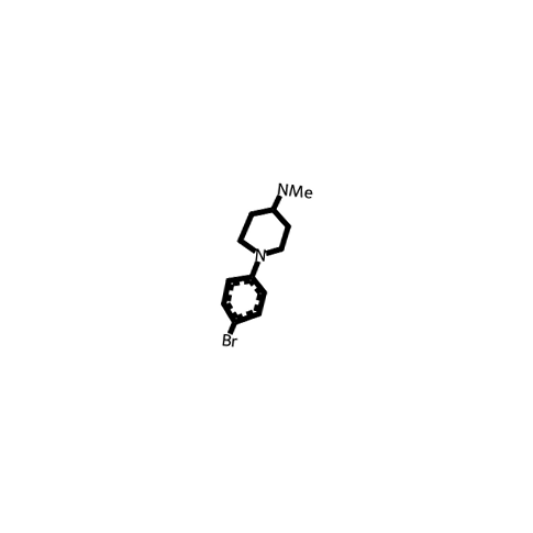 CNC1CCN(c2ccc(Br)cc2)CC1